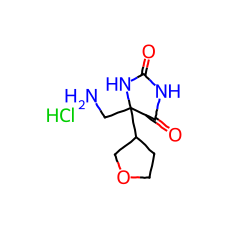 Cl.NCC1(C2CCOC2)NC(=O)NC1=O